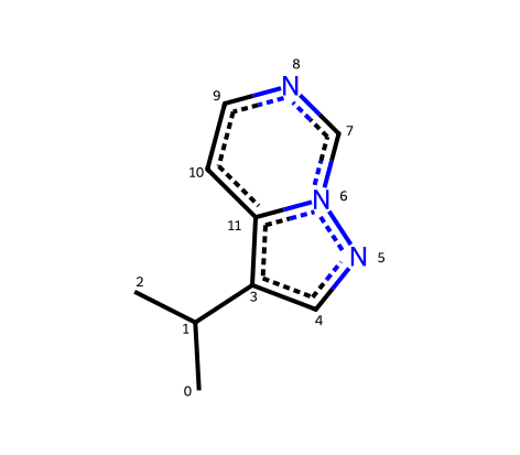 CC(C)c1cnn2cnccc12